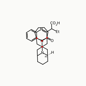 CCC(C(=O)O)c1nc2ccccc2n(C2CC3CCC[C@H](C2)N3C2CC3CCCCC(C3)C2)c1=O